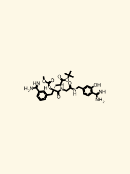 COC(=O)N[C@](CCC(=O)OC(C)(C)C)(Cc1cccc(C(=N)N)c1)C(=O)NCC(=O)NCc1ccc(C(=N)N)c(O)c1